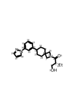 CC[C@H](CO)C(=O)N1CC2(CCC(c3cccc(-n4cccn4)c3)CC2)C1